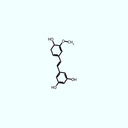 COC1=CC(/C=C/c2cc(O)cc(O)c2)=CCC1O